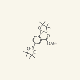 COC(=O)c1cc(B2OC(C)(C)C(C)(C)O2)ccc1B1OC(C)(C)C(C)(C)O1